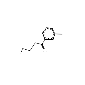 O=C(CCCF)c1cccc(Cl)c1